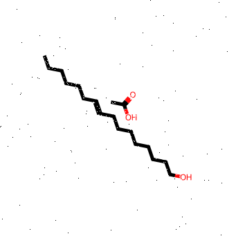 CC(=O)O.CCCCCC/C=C/CCCCCCCCO